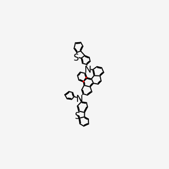 c1ccc(N(c2ccc3c(ccc4c3ccc3cccc(N(c5ccccc5)c5ccc6c(c5)sc5ccccc56)c34)c2)c2ccc3c(c2)sc2ccccc23)cc1